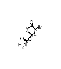 NC(=O)OC1CCC(=O)C(Br)C1